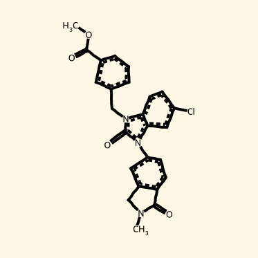 COC(=O)c1cccc(Cn2c(=O)n(-c3ccc4c(c3)CN(C)C4=O)c3cc(Cl)ccc32)c1